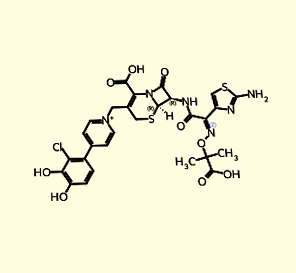 CC(C)(O/N=C(\C(=O)N[C@@H]1C(=O)N2C(C(=O)O)=C(C[n+]3ccc(-c4ccc(O)c(O)c4Cl)cc3)CS[C@H]12)c1csc(N)n1)C(=O)O